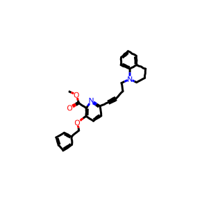 COC(=O)c1nc(C#CCCN2CCCc3ccccc32)ccc1OCc1ccccc1